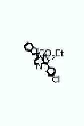 CCOC(=O)C1(c2ccnc3c(-c4ccc(Cl)cc4)cnn23)Cc2ccccc2C1